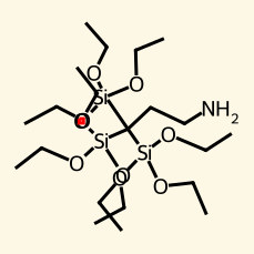 CCO[Si](OCC)(OCC)C(CCN)([Si](OCC)(OCC)OCC)[Si](OCC)(OCC)OCC